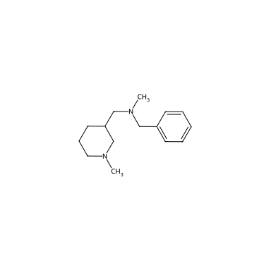 CN1CCCC(CN(C)Cc2ccccc2)C1